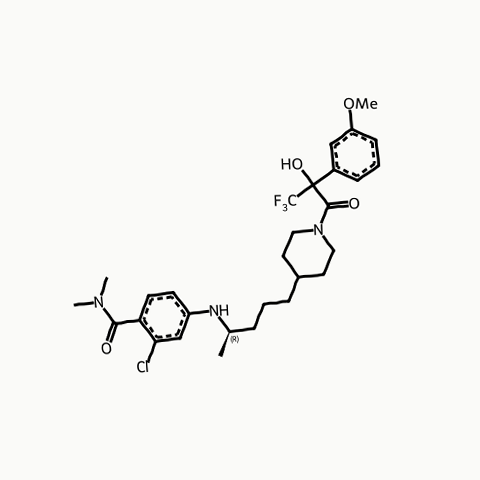 COc1cccc(C(O)(C(=O)N2CCC(CCC[C@@H](C)Nc3ccc(C(=O)N(C)C)c(Cl)c3)CC2)C(F)(F)F)c1